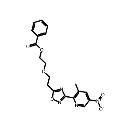 Cc1cc([N+](=O)[O-])cnc1-c1noc(CCOCCOC(=O)c2ccccc2)n1